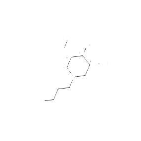 CCCCN1C[C@H](CO)[C@@H](O)[C@H](O)C1